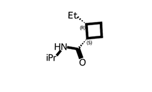 CC[C@@H]1CC[C@@H]1C(=O)NC(C)C